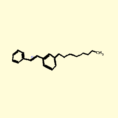 CCCCCCCCc1cccc(/C=C/c2ccccc2)c1